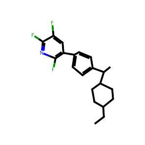 CCC1CCC(C(C)c2ccc(-c3cc(F)c(F)nc3F)cc2)CC1